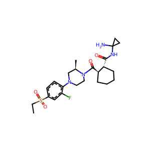 CCS(=O)(=O)c1ccc(N2CCN(C(=O)[C@@H]3CCCC[C@H]3C(=O)NC3(N)CC3)[C@H](C)C2)c(F)c1